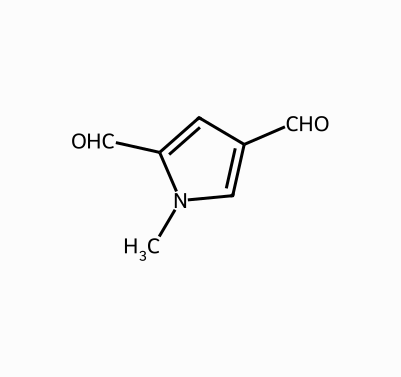 Cn1cc(C=O)cc1C=O